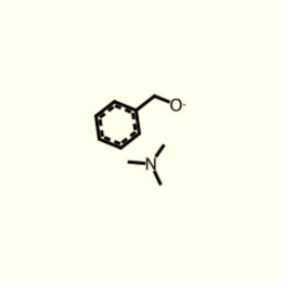 CN(C)C.[O]Cc1ccccc1